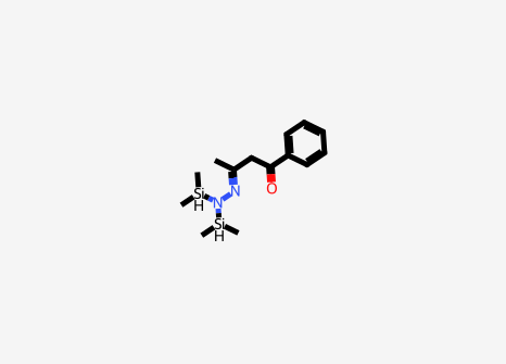 CC(CC(=O)c1ccccc1)=NN([SiH](C)C)[SiH](C)C